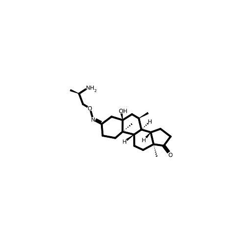 C[C@@H]1C[C@@]2(O)CC(=NOC[C@@H](C)N)CC[C@]2(C)[C@H]2CC[C@]3(C)C(=O)CC[C@H]3[C@H]12